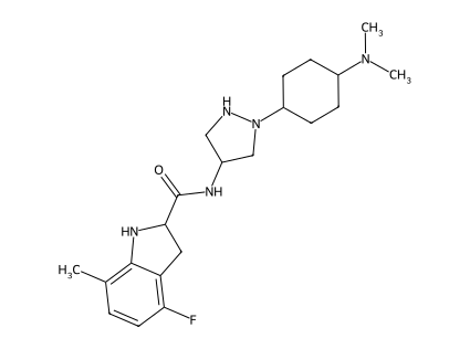 Cc1ccc(F)c2c1NC(C(=O)NC1CNN(C3CCC(N(C)C)CC3)C1)C2